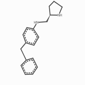 c1ccc(Cc2ccc(NC[C@H]3CCCN3)cc2)cc1